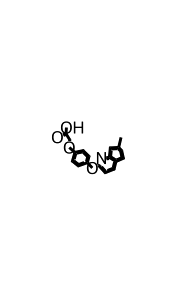 Cc1ccc2ccc(Oc3ccc(OCC(=O)O)cc3)nc2c1